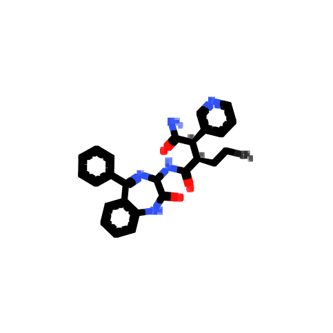 NC(=O)[C@@H](c1cccnc1)[C@@H](CCC(F)(F)F)C(=O)NC1N=C(c2ccccc2)c2ccccc2NC1=O